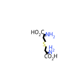 N[C@H](CCSCC[C@H](N)C(=O)O)C(=O)O